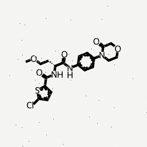 COCC[C@@H](NC(=O)c1ccc(Cl)s1)C(=O)Nc1ccc(N2CCOCC2=O)cc1